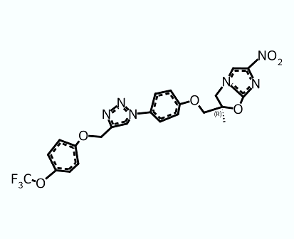 C[C@]1(COc2ccc(-n3cc(COc4ccc(OC(F)(F)F)cc4)nn3)cc2)Cn2cc([N+](=O)[O-])nc2O1